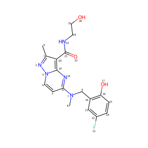 Cc1nn2ccc(N(C)Cc3cc(F)ccc3O)nc2c1C(=O)NCCO